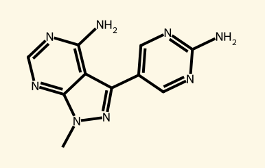 Cn1nc(-c2cnc(N)nc2)c2c(N)ncnc21